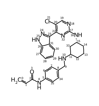 C=CC(=O)Nc1ccc(CNC2CCC[C@@H](Nc3ncc(Cl)c(-c4n[nH]c5ccccc45)n3)C2)cc1